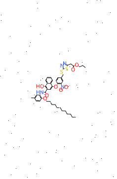 CCCCCCCCCCCCOc1ccc(C)cc1NC(=O)c1cc(Oc2ccc(CSc3nnc(CC(=O)OCCC)s3)cc2[N+](=O)[O-])c2ccccc2c1O